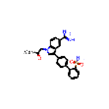 CNC(=O)Cn1cc(-c2ccc(-c3ccccc3S(N)(=O)=O)cc2)c2cc(C(=N)N)ccc21